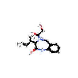 CCC(C)C1C(=O)Nc2ccccc2CN1C(=O)CO